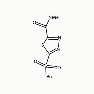 CCC(C)S(=O)(=O)c1nnc(C(=O)NC)s1